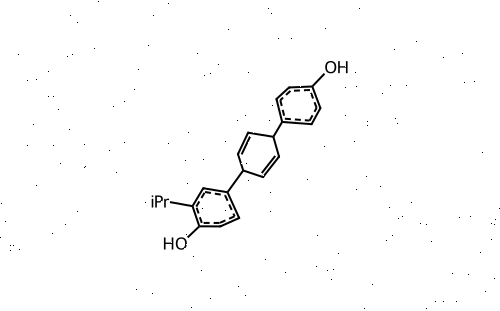 CC(C)c1cc(C2C=CC(c3ccc(O)cc3)C=C2)ccc1O